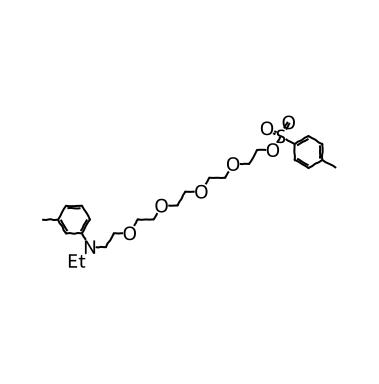 CCN(CCOCCOCCOCCOCCOS(=O)(=O)c1ccc(C)cc1)c1cccc(C)c1